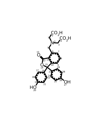 O=C(O)CN(CC(=O)O)Cc1cccc2c1C(=O)OC2(c1ccc(O)cc1)c1ccc(O)cc1